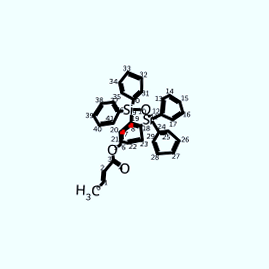 CC=CC(=O)OCCC[Si](O[Si](c1ccccc1)(c1ccccc1)c1ccccc1)(c1ccccc1)c1ccccc1